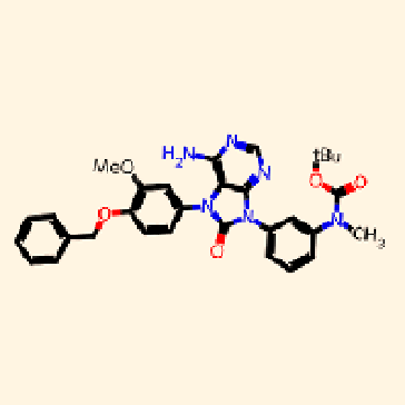 COc1cc(-n2c(=O)n(-c3cccc(N(C)C(=O)OC(C)(C)C)c3)c3ncnc(N)c32)ccc1OCc1ccccc1